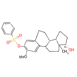 COc1cc2c(cc1OS(=O)(=O)c1ccccc1)CCC1C2CCC2(C)C1CC[C@@H]2O